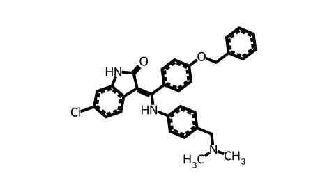 CN(C)Cc1ccc(NC(=C2C(=O)Nc3cc(Cl)ccc32)c2ccc(OCc3ccccc3)cc2)cc1